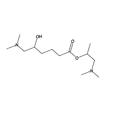 CC(CN(C)C)OC(=O)CCCC(O)CN(C)C